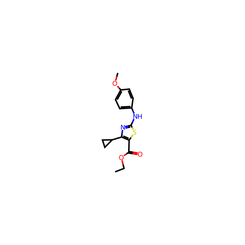 CCOC(=O)c1sc(Nc2ccc(OC)cc2)nc1C1CC1